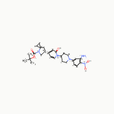 CC(C)(C)OC(=O)N1C[C@@H](c2ccn(C3CCN(c4ccc([N+](=O)[O-])c(N)c4)CC3)c(=O)c2)CC12CC2